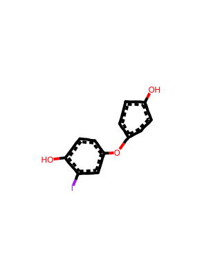 Oc1ccc(Oc2ccc(O)c(I)c2)cc1